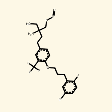 NC(CO)(CCc1ccc(OCCCc2cc(Cl)ccc2F)c(C(F)(F)F)c1)COP=O